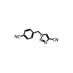 N#Cc1ccc(Cn2cc(C#N)nn2)cc1